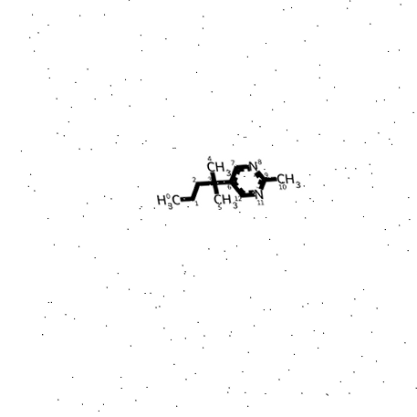 CCCC(C)(C)c1cnc(C)nc1